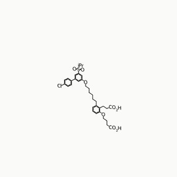 CC(C)S(=O)(=O)c1cc(OCCCCCCc2cccc(OCCCC(=O)O)c2CCC(=O)O)cc(-c2ccc(Cl)cc2)c1